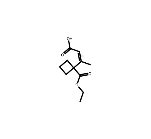 CCOC(=O)C1(/C(C)=C\C(=O)O)CCC1